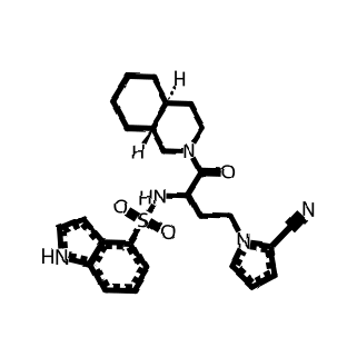 N#Cc1cccn1CCC(NS(=O)(=O)c1cccc2[nH]ccc12)C(=O)N1CC[C@@H]2CCCC[C@H]2C1